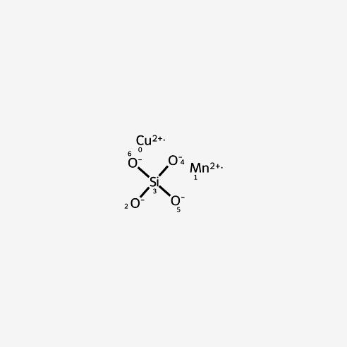 [Cu+2].[Mn+2].[O-][Si]([O-])([O-])[O-]